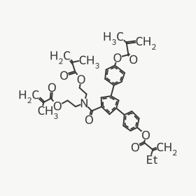 C=C(C)C(=O)OCCN(CCOC(=O)C(=C)C)C(=O)c1cc(-c2ccc(OC(=O)C(=C)C)cc2)cc(-c2ccc(OC(=O)C(=C)CC)cc2)c1